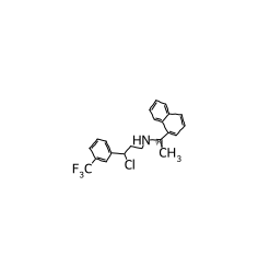 C[C@@H](NCCC(Cl)c1cccc(C(F)(F)F)c1)c1cccc2ccccc12